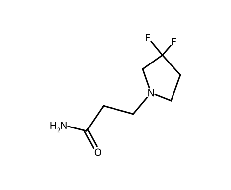 NC(=O)CCN1CCC(F)(F)C1